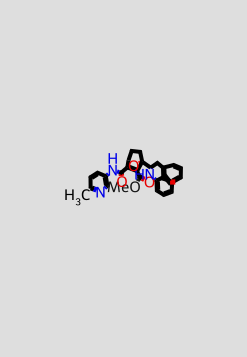 COC(=O)C1=C(C(=O)Nc2ccc(C)nc2)C2CCC1(C(Cc1ccccc1)Nc1ccccc1)O2